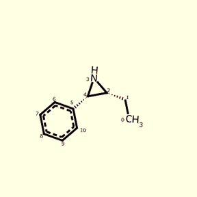 CC[C@H]1N[C@H]1c1ccccc1